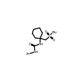 CC(C)NC(=O)NC1(CS(=O)(=O)C(C)(C)C)CCCCC1